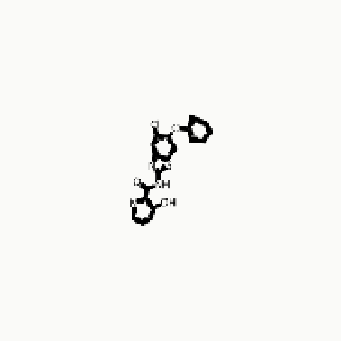 O=C(Nc1nc2cc(Cl)c(Oc3ccccc3)cc2s1)c1ncccc1O